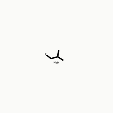 CC(C)CF.[NaH]